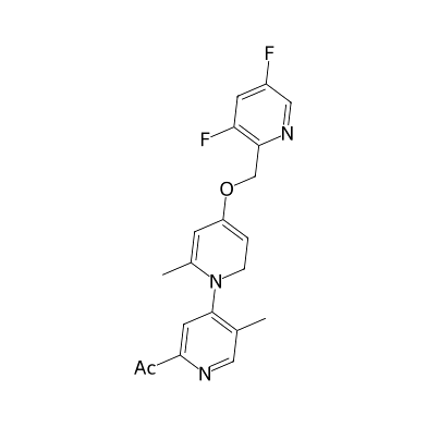 CC(=O)c1cc(N2CC=C(OCc3ncc(F)cc3F)C=C2C)c(C)cn1